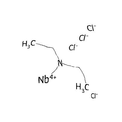 CC[N]([Nb+4])CC.[Cl-].[Cl-].[Cl-].[Cl-]